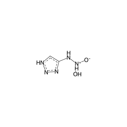 [O-][NH+](O)Nc1c[nH]nn1